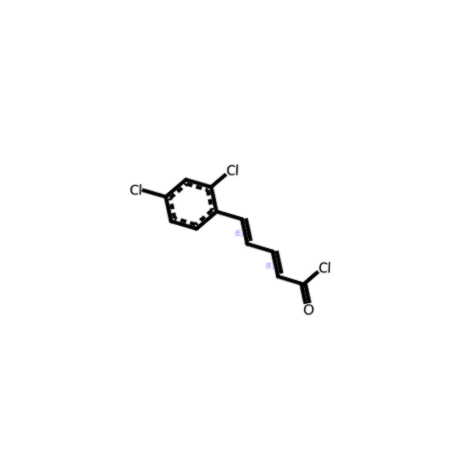 O=C(Cl)/C=C/C=C/c1ccc(Cl)cc1Cl